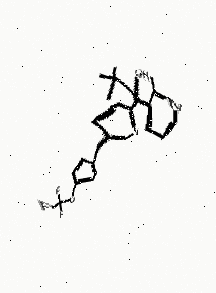 Cc1ncccc1C(O)(c1ccc(-c2ccc(OC(F)(F)F)cc2)cn1)C(C)(C)C